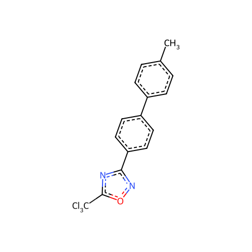 Cc1ccc(-c2ccc(-c3noc(C(Cl)(Cl)Cl)n3)cc2)cc1